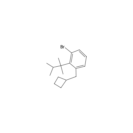 CC(C)C(C)(C)c1c(Br)cccc1CC1CCC1